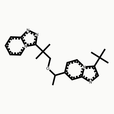 CC(OCC(C)(C)c1nnc2ccccn12)c1ccn2c(C(C)(C)C)cnc2c1